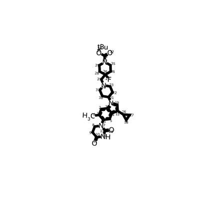 Cc1cc2c(cc1N1CCC(=O)NC1=O)c(C1CC1)cn2C1CCN(CC2(F)CCN(C(=O)OC(C)(C)C)CC2)CC1